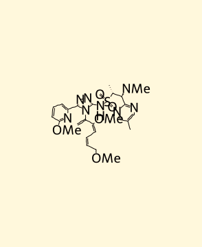 C=C(/C(=C\C=C/COC)OC)n1c(NS(=O)(=O)[C@H](C)[C@@H](NC)c2ncc(C)cn2)nnc1-c1cccc(OC)n1